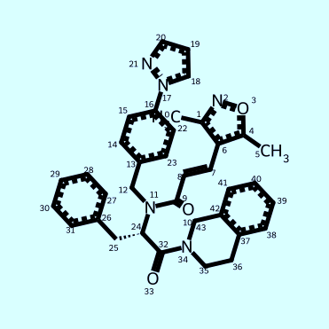 Cc1noc(C)c1/C=C/C(=O)N(Cc1ccc(-n2cccn2)cc1)[C@@H](Cc1ccccc1)C(=O)N1CCc2ccccc2C1